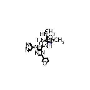 CN/C=C(/NC(=O)c1nc(C2CCOC2)cnc1Nc1cncnc1)C(=N)C(=O)NC